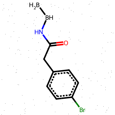 BBNC(=O)Cc1ccc(Br)cc1